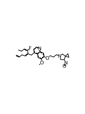 C=CC/C=C(Cc1ccnc2cc(OCCCN3CC(N=O)C4(CC4)C3)c(OC)cc12)\C(F)=C/CC